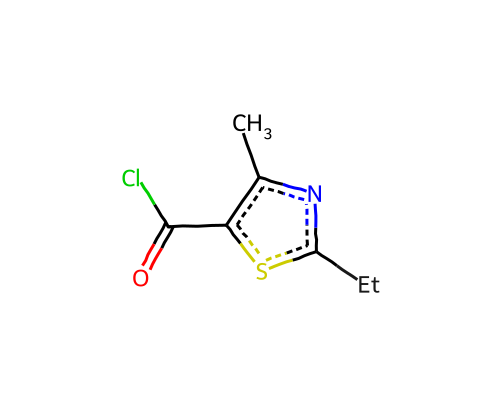 CCc1nc(C)c(C(=O)Cl)s1